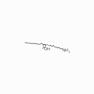 CC(=O)O.CCCCCCCCCCCCCCCCCCCCCCCCCCN